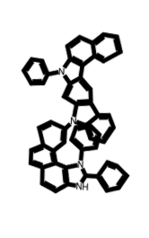 c1ccc(C2Nc3ccc4ccc5ccc(-n6c7ccccc7c7cc8c9c%10ccccc%10ccc9n(-c9ccccc9)c8cc76)cc5c4c3N2c2ccccc2)cc1